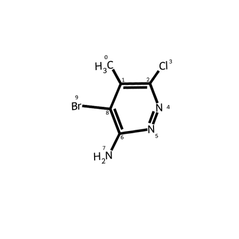 Cc1c(Cl)nnc(N)c1Br